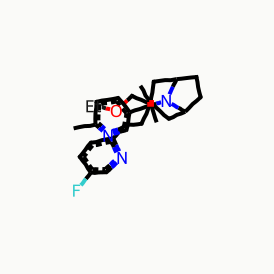 CCOCC1(CCc2ccc(F)cn2)CC2CCC(C1)N2C(C)(C)c1ccc(C)nc1